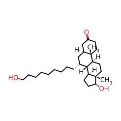 C[C@]12CCC(=O)C[C@@H]1C[C@@H](CCCCCCCCCO)[C@@H]1[C@@H]2CC[C@]2(C)[C@@H](O)CC[C@@H]12